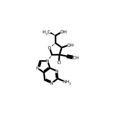 C#CC1(Cl)C(O)[C@@H]([C@@H](C)O)O[C@H]1n1cnc2cnc(N)nc21